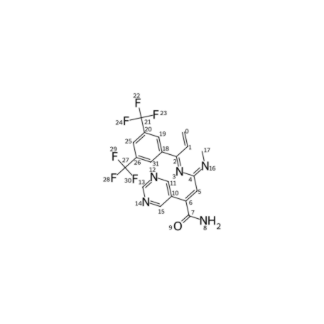 C=C\C(=N/C(/C=C(/C(N)=O)c1cncnc1)=N\C)c1cc(C(F)(F)F)cc(C(F)(F)F)c1